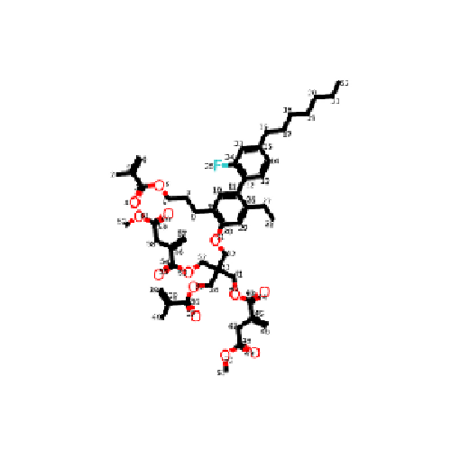 C=C(C)C(=O)OCCCc1cc(-c2ccc(CCCCCCC)cc2F)c(CC)cc1OCC(COC(=O)C(=C)C)(COC(=O)C(=C)CC(=O)OC)COC(=O)C(=C)CC(=O)OC